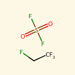 FCC(F)(F)F.O=S(=O)(F)F